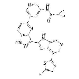 O=C(Nc1cncc(-c2ccc3[nH]nc(-c4cc5c(-c6ccc(F)s6)cncc5[nH]4)c3n2)c1)C1CC1